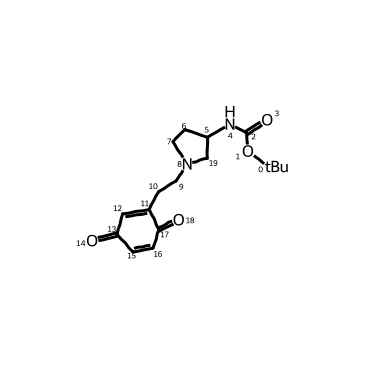 CC(C)(C)OC(=O)NC1CCN(CCC2=CC(=O)C=CC2=O)C1